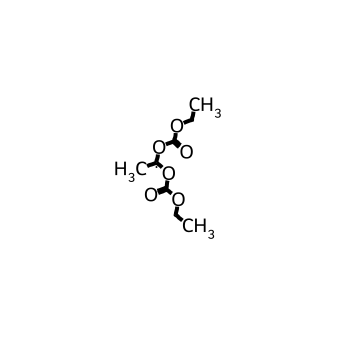 CCOC(=O)O[C](C)OC(=O)OCC